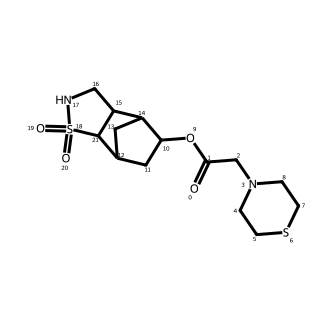 O=C(CN1CCSCC1)OC1CC2CC1C1CNS(=O)(=O)C21